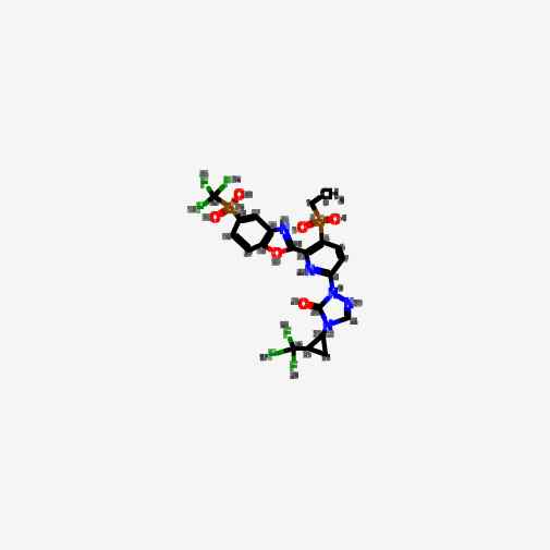 CCS(=O)(=O)c1ccc(-n2ncn(C3CC3C(F)(F)F)c2=O)nc1-c1nc2cc(S(=O)(=O)C(F)(F)F)ccc2o1